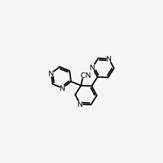 N#CC1(c2ccncn2)CN=CC=C1c1ccncn1